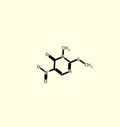 CSc1ncc([N+](=O)[O-])c(=O)n1C